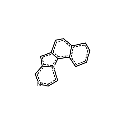 c1ccc2c(c1)ccc1cc3cnccn3c12